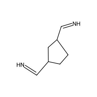 N=CC1CCC(C=N)C1